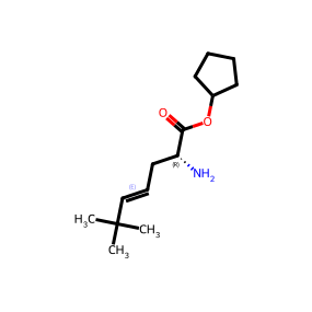 CC(C)(C)/C=C/C[C@@H](N)C(=O)OC1CCCC1